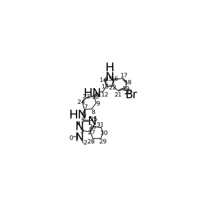 CN(C)c1nc(NC2CCC(NCc3c[nH]c4ccc(Br)cc34)CC2)nc2c1CCCC2